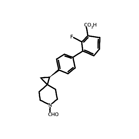 O=CN1CCC2(CC1)C[C@H]2c1ccc(-c2cccc(C(=O)O)c2F)cc1